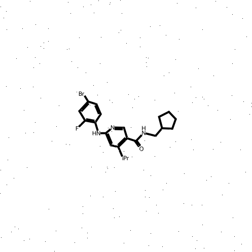 CC(C)c1cc(Nc2ccc(Br)cc2F)ncc1C(=O)NCC1CCCC1